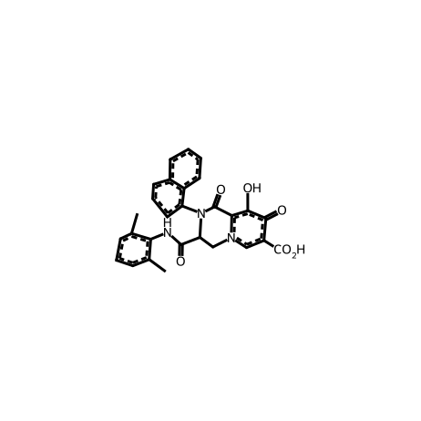 Cc1cccc(C)c1NC(=O)C1Cn2cc(C(=O)O)c(=O)c(O)c2C(=O)N1c1cccc2ccccc12